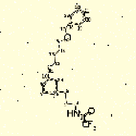 O=C(NCCCc1cccc(SCCCCOCc2ccccc2)c1)C(F)(F)F